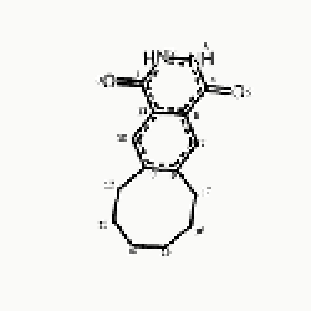 O=c1[nH][nH]c(=O)c2cc3c(cc12)CCCCCC3